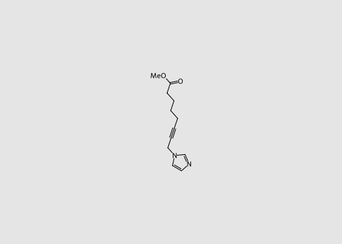 COC(=O)CCCCC#CCn1ccnc1